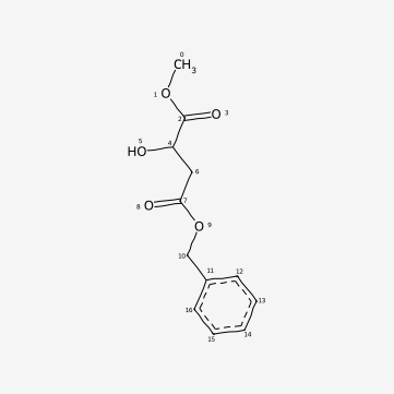 COC(=O)C(O)CC(=O)OCc1ccccc1